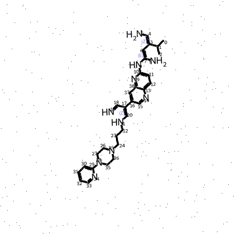 CC(C)C(=C/N)/C=C(\N)Nc1ccc2ncc(/C(C=N)=C/NCCCN3CCN(c4ccccn4)CC3)cc2n1